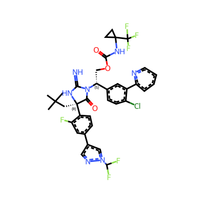 CC(C)(C)C[C@]1(c2ccc(-c3cnn(C(F)F)c3)cc2F)NC(=N)N([C@H](COC(=O)NC2(C(F)(F)F)CC2)c2ccc(Cl)c(-c3ccccn3)c2)C1=O